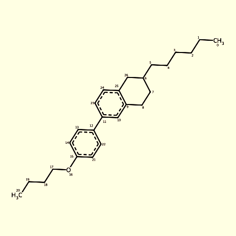 CCCCCCC1CCc2cc(-c3ccc(OCCCC)cc3)ccc2C1